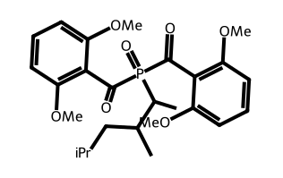 COc1cccc(OC)c1C(=O)P(=O)(C(=O)c1c(OC)cccc1OC)C(C)C(C)CC(C)C